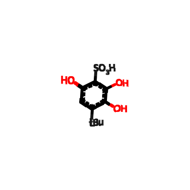 CC(C)(C)c1cc(O)c(S(=O)(=O)O)c(O)c1O